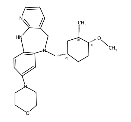 CO[C@@H]1CC[C@H](CN2Cc3cccnc3Nc3ccc(N4CCOCC4)cc32)C[C@@H]1C